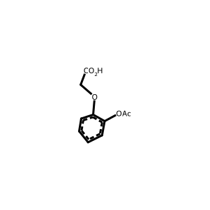 CC(=O)Oc1ccccc1OCC(=O)O